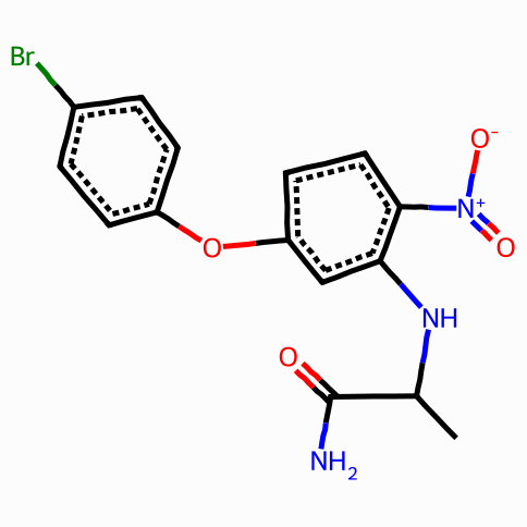 CC(Nc1cc(Oc2ccc(Br)cc2)ccc1[N+](=O)[O-])C(N)=O